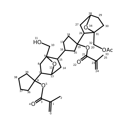 C=C(C)C(=O)OC1(C2CC3(CO)OC2CC3C2CCC(OC(=O)C(=C)C)(C3CC4CCC3(COC(C)=O)O4)C2)CCCC1